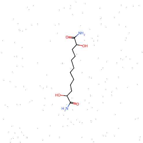 NC(=O)C(O)CCCCCCCCC(O)C(N)=O